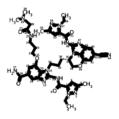 CCn1nc(C)cc1C(=O)Nc1nc2cc(C(N)=O)cc(OCCCNC(=O)CN(C)C)c2n1CCC[C@H]1COc2cc(C#N)cc3nc(NC(=O)c4cc(C)nn4CC)n1c23